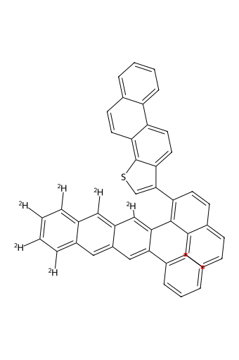 [2H]c1c([2H])c([2H])c2c([2H])c3c([2H])c(-c4c(-c5csc6c5ccc5c7ccccc7ccc56)ccc5ccccc45)c(-c4ccccc4)cc3cc2c1[2H]